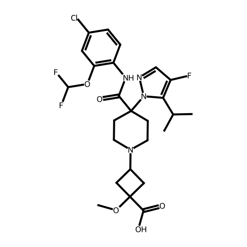 COC1(C(=O)O)CC(N2CCC(C(=O)Nc3ccc(Cl)cc3OC(F)F)(n3ncc(F)c3C(C)C)CC2)C1